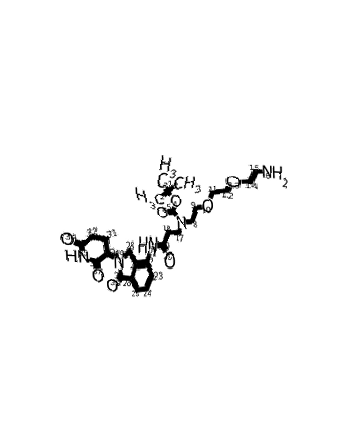 CC(C)(C)OC(=O)N(CCOCCOCCN)CCC(=O)Nc1cccc2c1CN(C1CCC(=O)NC1=O)C2=O